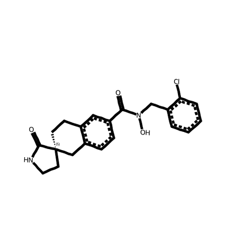 O=C(c1ccc2c(c1)CC[C@@]1(CCNC1=O)C2)N(O)Cc1ccccc1Cl